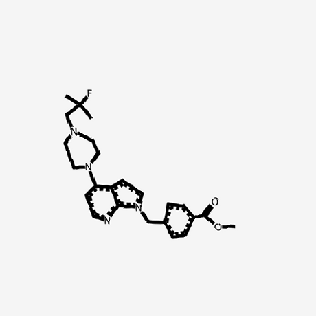 COC(=O)c1ccc(Cn2ccc3c(N4CCN(CC(C)(C)F)CC4)ccnc32)cc1